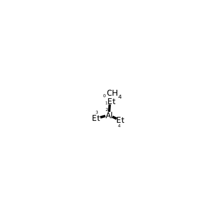 C.C[CH2][Al]([CH2]C)[CH2]C